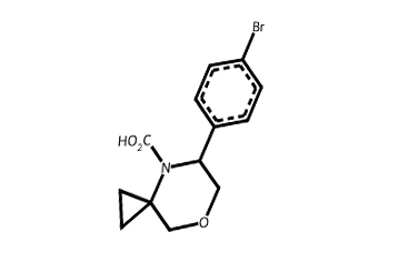 O=C(O)N1C(c2ccc(Br)cc2)COCC12CC2